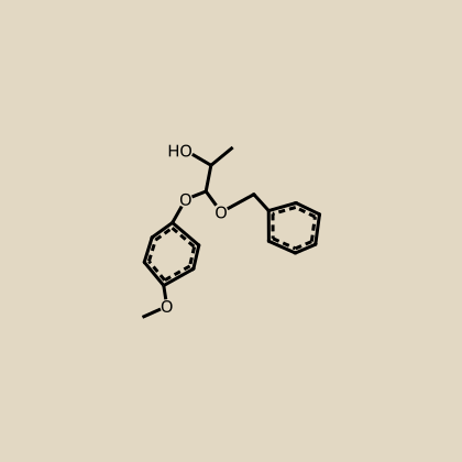 COc1ccc(OC(OCc2ccccc2)C(C)O)cc1